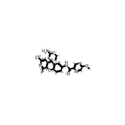 COc1cnc(C(=O)Nc2ccc3c(c2)[C@@]2(CCOC(N)=N2)c2cc(Cl)nc(F)c2O3)cn1